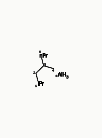 [AlH3].[CH2]C(C)CC(C)CCC